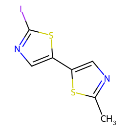 Cc1ncc(-c2cnc(I)s2)s1